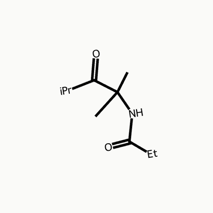 CCC(=O)NC(C)(C)C(=O)C(C)C